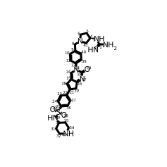 N=C(N)N[C@@H]1CCN(Cc2ccc(-n3cc4c(nc3=O)CC(c3ccc(S(=O)(=O)NC5CCNCC5)cc3)=C4)cc2)C1